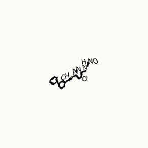 Cc1c(C#Cc2cc(Cl)c(CNCCN=O)nn2)cccc1-c1ccccc1